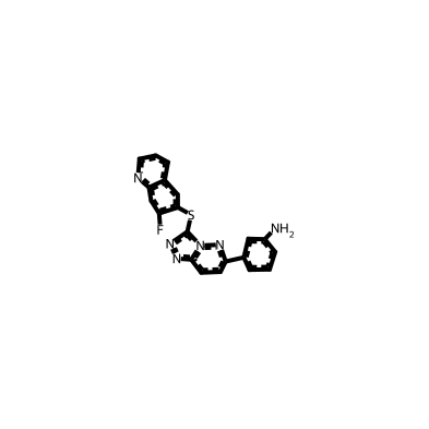 Nc1cccc(-c2ccc3nnc(Sc4cc5cccnc5cc4F)n3n2)c1